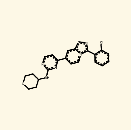 Clc1ccccc1-c1nnc2cc(-c3ccnc(NC4CCOCC4)n3)ccn12